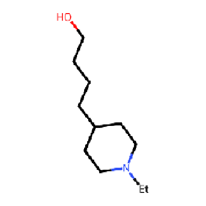 CCN1CCC(CCCCO)CC1